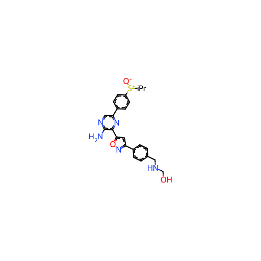 CC(C)[S+]([O-])c1ccc(-c2cnc(N)c(-c3cc(-c4ccc(CNCO)cc4)no3)n2)cc1